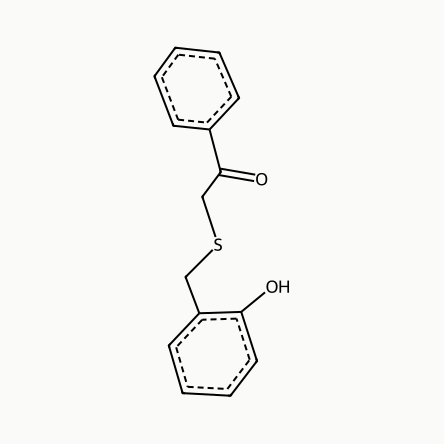 O=C(CSCc1ccccc1O)c1ccccc1